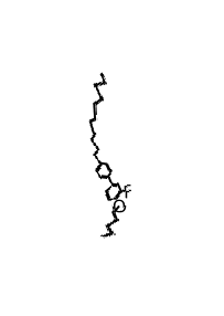 CCCCCCCCCCCc1ccc(-c2ccc(OCCCCC)c(F)c2)cc1